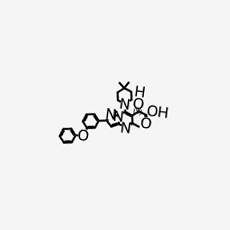 Cc1nc2cc(-c3cccc(Oc4ccccc4)c3)nn2c(N2CCC(C)(C)CC2)c1[C@H](O)C(=O)O